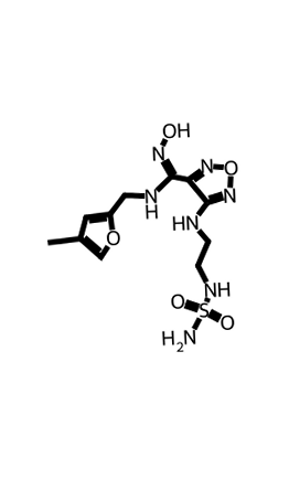 Cc1coc(CNC(=NO)c2nonc2NCCNS(N)(=O)=O)c1